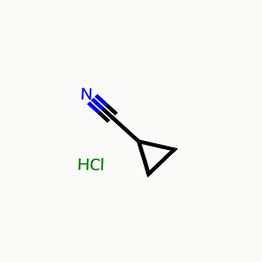 Cl.N#CC1CC1